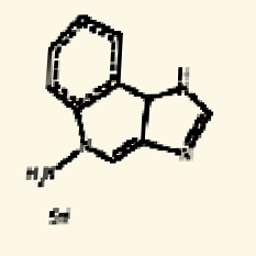 NN1C=C2N=CNC2c2ccccc21.[Sn]